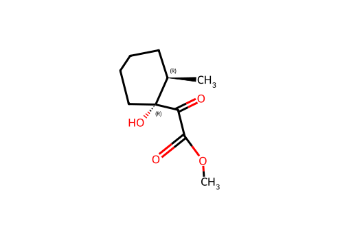 COC(=O)C(=O)[C@@]1(O)CCCC[C@H]1C